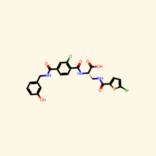 O=C(NCc1cccc(O)c1)c1ccc(C(=O)N[C@@H](CNC(=O)c2ccc(Br)s2)C(=O)O)c(Cl)c1